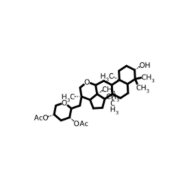 CC(=O)O[C@@H]1COC(C[C@@]2(C)COC3CC4[C@@]5(C)CC[C@H](O)C(C)(C)C5CC[C@@]4(C)[C@]4(C)CCC2[C@@]34C)[C@H](OC(C)=O)C1